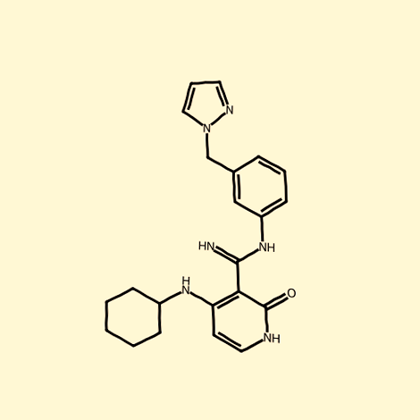 N=C(Nc1cccc(Cn2cccn2)c1)c1c(NC2CCCCC2)cc[nH]c1=O